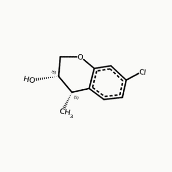 C[C@H]1c2ccc(Cl)cc2OC[C@H]1O